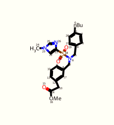 CCCCc1ccc(CN(Cc2cccc(CC(=O)OC)c2)S(=O)(=O)c2cn(C)cn2)cc1